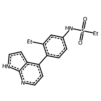 CCc1cc(NS(=O)(=O)CC)ccc1-c1ccnc2[nH]ccc12